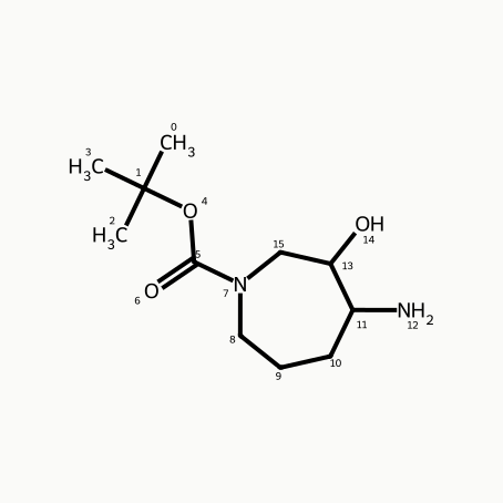 CC(C)(C)OC(=O)N1CCCC(N)C(O)C1